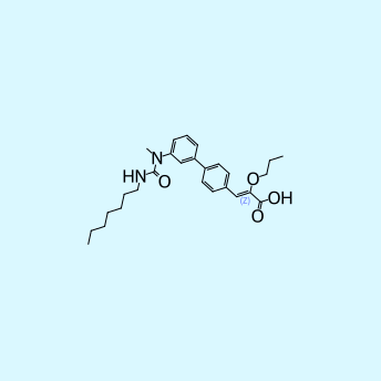 CCCCCCCNC(=O)N(C)c1cccc(-c2ccc(/C=C(\OCCC)C(=O)O)cc2)c1